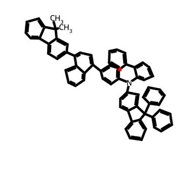 CC1(C)c2ccccc2-c2ccc(-c3ccc(-c4ccc(N(c5ccc6c(c5)C(c5ccccc5)(c5ccccc5)c5ccccc5-6)c5ccccc5-c5ccccc5)cc4)c4ccccc34)cc21